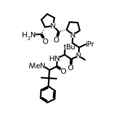 CNC(C(=O)NC(C(=O)N(C)C(CN1CCC[C@H]1C(=O)N1CCC[C@H]1C(N)=O)C(C)C)C(C)(C)C)C(C)(C)c1ccccc1